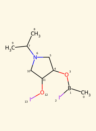 CB(I)OC1CN(C(C)C)CC1OI